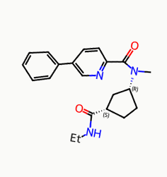 CCNC(=O)[C@H]1CC[C@@H](N(C)C(=O)c2ccc(-c3ccccc3)cn2)C1